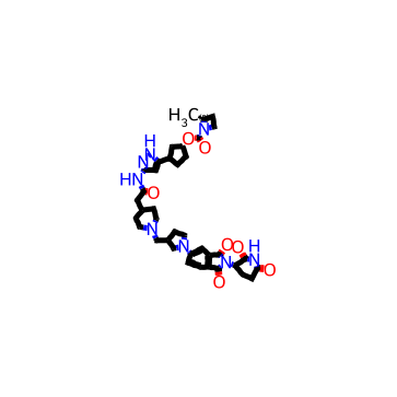 C[C@H]1CCN1C(=O)OC1CCC(c2cc(NC(=O)CC3CCN(CC4CCN(c5ccc6c(c5)C(=O)N(C5CCC(=O)NC5=O)C6=O)C4)CC3)n[nH]2)C1